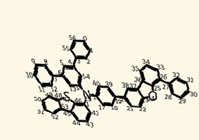 c1ccc(-c2cc(-c3ccccc3)cc(N(c3ccc(-c4ccc5oc6c(-c7ccccc7)cccc6c5c4)cc3)c3cccc4c3sc3ccccc34)c2)cc1